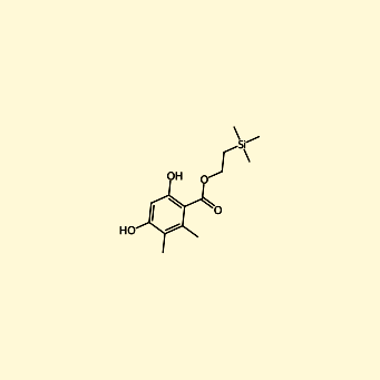 Cc1c(O)cc(O)c(C(=O)OCC[Si](C)(C)C)c1C